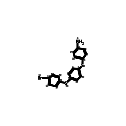 Nc1ccc(Sc2ccc(Sc3ccc(Br)cc3)cc2)cc1